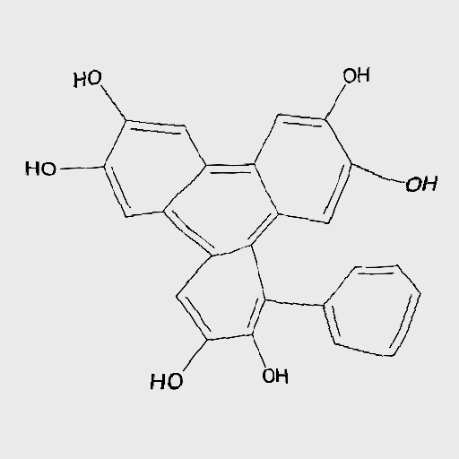 Oc1cc2c3cc(O)c(O)cc3c3c(-c4ccccc4)c(O)c(O)cc3c2cc1O